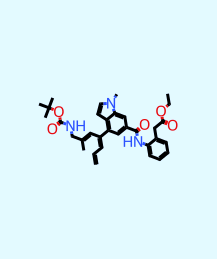 C=C/C=C(\C=C(/C)CNC(=O)OC(C)(C)C)c1cc(C(=O)Nc2ccccc2CC(=O)OCC)cc2c1ccn2C